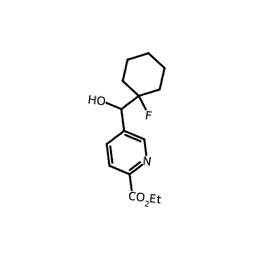 CCOC(=O)c1ccc(C(O)C2(F)CCCCC2)cn1